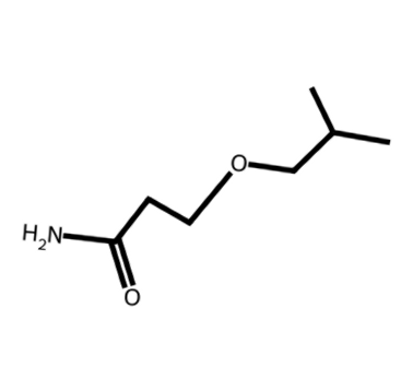 CC(C)COCCC(N)=O